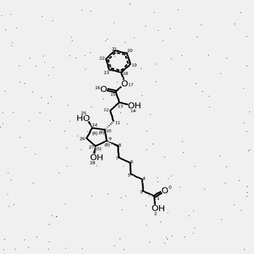 O=C(O)CCCCCC[C@@H]1[C@@H](CCC(O)C(=O)Oc2ccccc2)[C@H](O)C[C@@H]1O